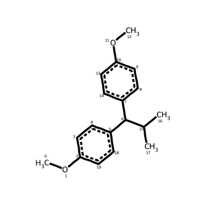 COc1ccc(C(c2ccc(OC)cc2)C(C)C)cc1